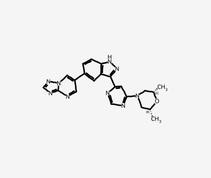 C[C@@H]1CN(c2cc(-c3n[nH]c4ccc(-c5cnc6ncnn6c5)cc34)ncn2)C[C@H](C)O1